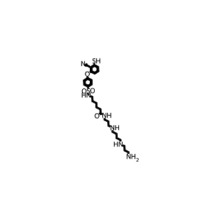 N#Cc1c(S)cccc1Oc1ccc(S(=O)(=O)NCCCCCC(=O)NCCCNCCCCNCCCN)cc1